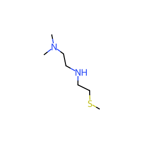 CSCCNCCN(C)C